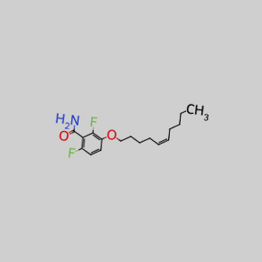 CCCC/C=C\CCCCOc1ccc(F)c(C(N)=O)c1F